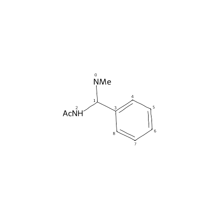 CNC(NC(C)=O)c1ccccc1